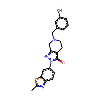 Cc1nc2ccc(-n3[nH]c4c(c3=O)CCN(Cc3cccc(C#N)c3)C4)cc2s1